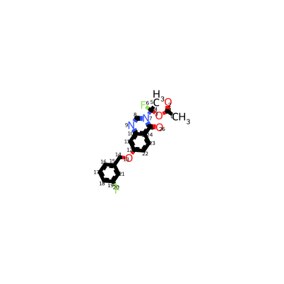 CC(=O)OC(C)(F)n1cnc2cc(OCc3cccc(F)c3)ccc2c1=O